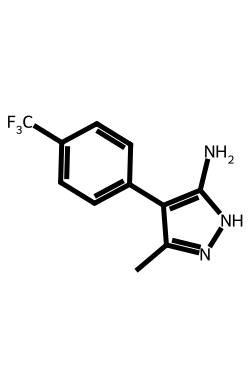 Cc1n[nH]c(N)c1-c1ccc(C(F)(F)F)cc1